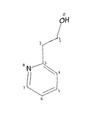 O[CH]Cc1ccccn1